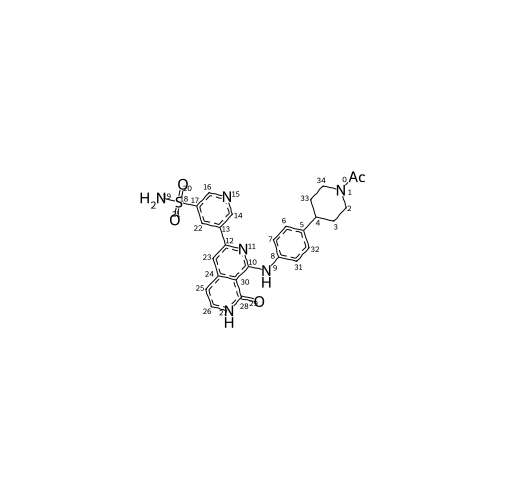 CC(=O)N1CCC(c2ccc(Nc3nc(-c4cncc(S(N)(=O)=O)c4)cc4cc[nH]c(=O)c34)cc2)CC1